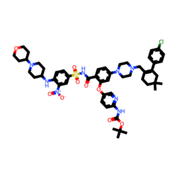 CC1(C)CCC(CN2CCN(c3ccc(C(=O)NS(=O)(=O)c4ccc(NC5CCN(C6CCOCC6)CC5)c([N+](=O)[O-])c4)c(Oc4ccc(NC(=O)OC(C)(C)C)nc4)c3)CC2)=C(c2ccc(Cl)cc2)C1